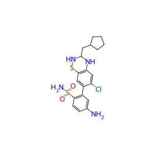 Nc1ccc(S(N)(=O)=O)c(-c2cc3c(cc2Cl)NC(CC2CCCC2)NS3)c1